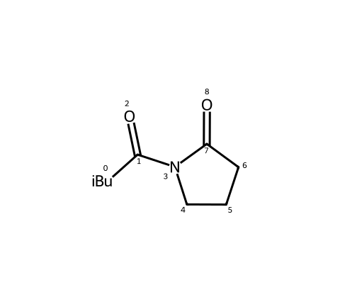 CCC(C)C(=O)N1CCCC1=O